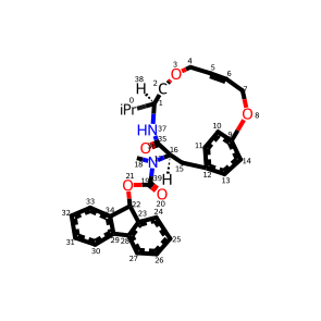 CC(C)[C@H]1COCC=CCOc2ccc(cc2)C[C@@H](N(C)C(=O)OC2c3ccccc3-c3ccccc32)C(=O)N1